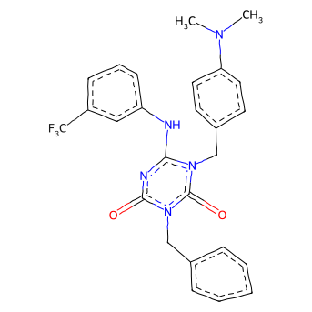 CN(C)c1ccc(Cn2c(Nc3cccc(C(F)(F)F)c3)nc(=O)n(Cc3ccccc3)c2=O)cc1